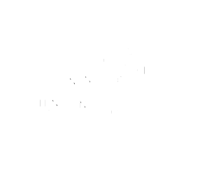 ClC(Cl)(Cl)Cl.Nc1nc(COc2ccccc2)n[nH]1